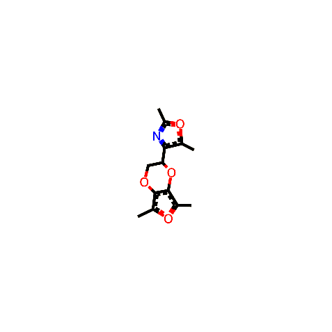 Cc1nc(C2COc3c(C)oc(C)c3O2)c(C)o1